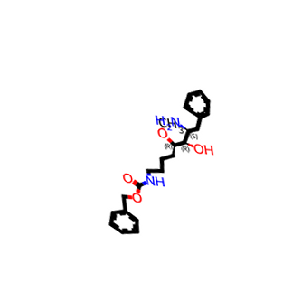 CO[C@H](CCCCNC(=O)OCc1ccccc1)[C@H](O)[C@@H](N)Cc1ccccc1